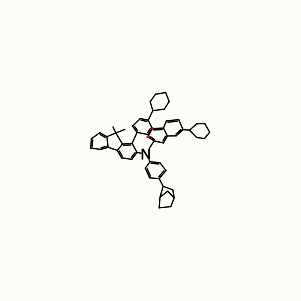 CC1(C)c2ccccc2-c2ccc(N(c3ccc(C4CC5CCC4C5)cc3)c3ccc4ccc(C5CCCCC5)cc4c3)c(-c3ccc(C4CCCCC4)cc3)c21